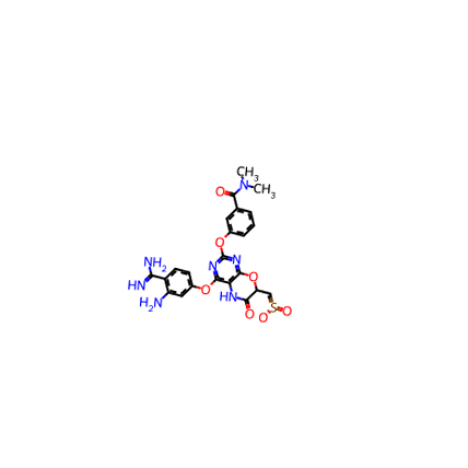 CN(C)C(=O)c1cccc(Oc2nc(Oc3ccc(C(=N)N)c(N)c3)c3c(n2)OC(C=S(=O)=O)C(=O)N3)c1